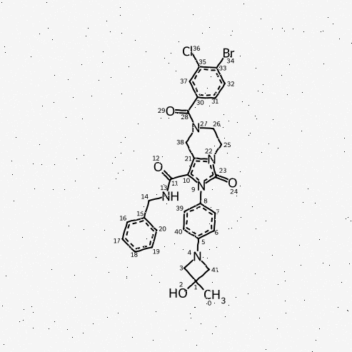 CC1(O)CN(c2ccc(-n3c(C(=O)NCc4ccccc4)c4n(c3=O)CCN(C(=O)c3ccc(Br)c(Cl)c3)C4)cc2)C1